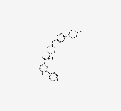 Cc1ccc(C(=O)NC2CCN(Cc3ccc(N4CCC(C)CC4)nc3)CC2)cc1-c1ccncc1